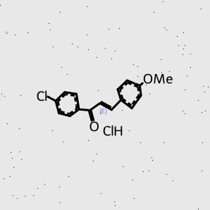 COc1ccc(/C=C/C(=O)c2ccc(Cl)cc2)cc1.Cl